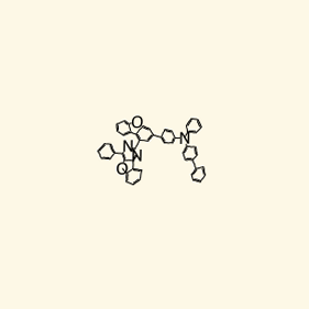 c1ccc(-c2ccc(N(c3ccccc3)c3ccc(-c4cc(-c5nc(-c6ccccc6)c6oc7ccccc7c6n5)c5c(c4)oc4ccccc45)cc3)cc2)cc1